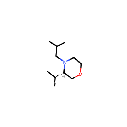 CC(C)CN1CCOC[C@@H]1C(C)C